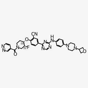 N#Cc1cc(-c2ncnc(Nc3ccc(N4CCN(C5COC5)CC4)cc3)n2)ccc1O[C@H]1CCN(C(=O)c2ccnnc2)C[C@@H]1F